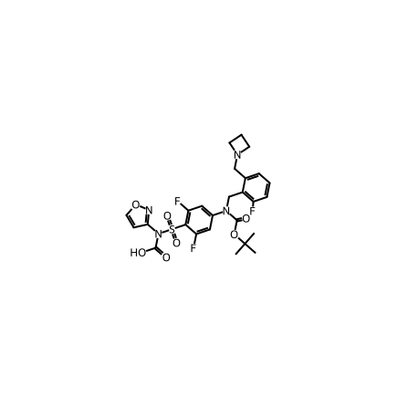 CC(C)(C)OC(=O)N(Cc1c(F)cccc1CN1CCC1)c1cc(F)c(S(=O)(=O)N(C(=O)O)c2ccon2)c(F)c1